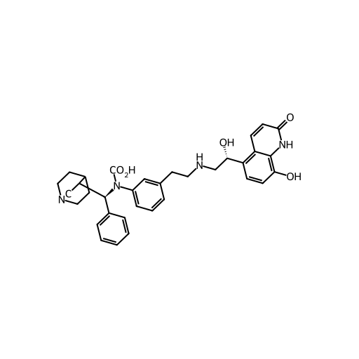 O=C(O)N(c1cccc(CCNC[C@H](O)c2ccc(O)c3[nH]c(=O)ccc23)c1)[C@@H](c1ccccc1)C1CN2CCC1CC2